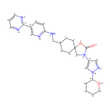 O=C1OC2(CCC(CNc3ccc(-c4ncccn4)cn3)CC2)CN1c1cnn(C2CCCCO2)c1